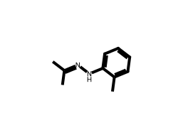 CC(C)=NNc1ccccc1C